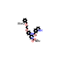 COc1ccccc1COCCCOc1ccc(C2CCN(C(=O)OC(C)(C)C)CC2NC(=O)c2ccc3c(c2)NCCC3)cc1